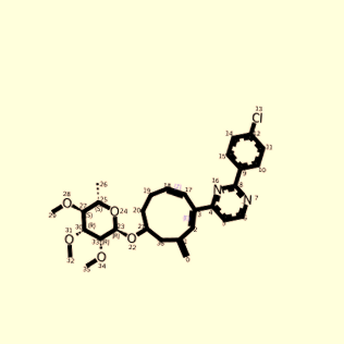 C=C1/C=C(c2ccnc(-c3ccc(Cl)cc3)n2)\C=C/CCC(O[C@@H]2O[C@@H](C)[C@H](OC)[C@@H](OC)[C@H]2OC)C1